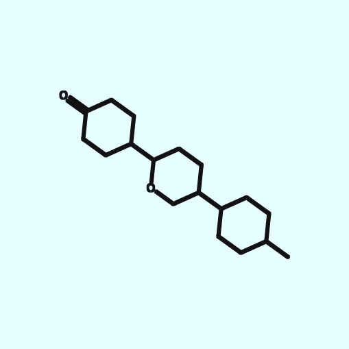 CC1CCC(C2CCC(C3CCC(=O)CC3)OC2)CC1